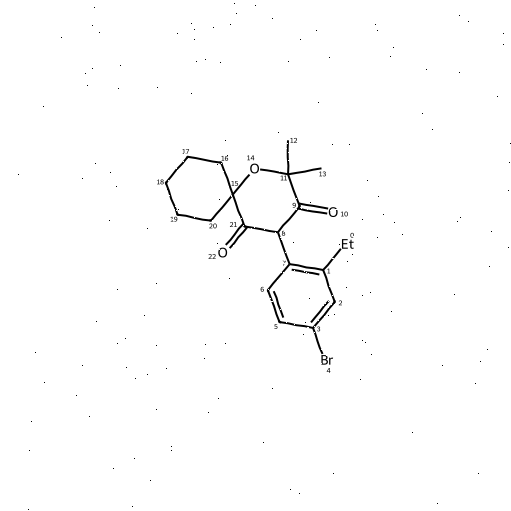 CCc1cc(Br)ccc1C1C(=O)C(C)(C)OC2(CCCCC2)C1=O